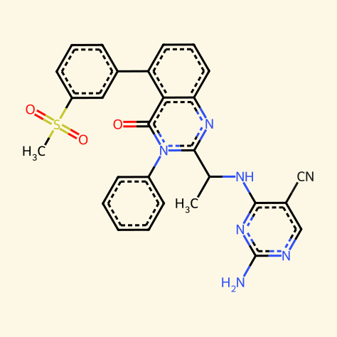 CC(Nc1nc(N)ncc1C#N)c1nc2cccc(-c3cccc(S(C)(=O)=O)c3)c2c(=O)n1-c1ccccc1